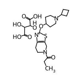 CCC(=O)N1CCc2nc(OC3CCN(C4CCC4)CC3)sc2C1.O=C(O)C(O)C(O)C(=O)O